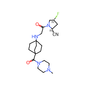 CN1CCN(C(=O)C23CCC(NCC(=O)N4C[C@@H](F)C[C@H]4C#N)(CC2)CC3)CC1